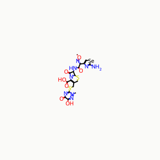 CON=C(C(=O)NC1C(=O)N2C(C(=O)O)=C(CSc3nc(=O)c(O)nn3C)CSC12)c1c[se]c(N)n1